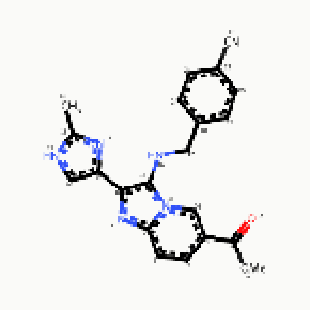 COC(=O)c1ccc2nc(-c3c[nH]c(C)n3)c(NCc3ccc(C#N)cc3)n2c1